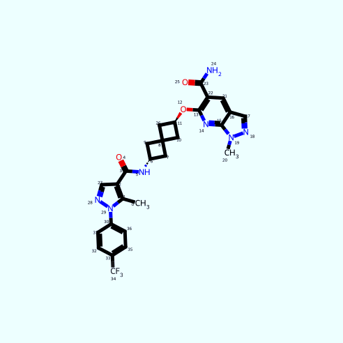 Cc1c(C(=O)N[C@H]2CC3(C2)C[C@H](Oc2nc4c(cnn4C)cc2C(N)=O)C3)cnn1-c1ccc(C(F)(F)F)cc1